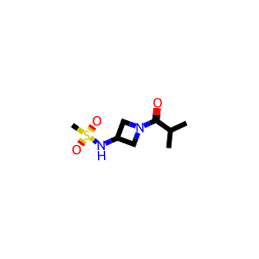 CC(C)C(=O)N1CC(NS(C)(=O)=O)C1